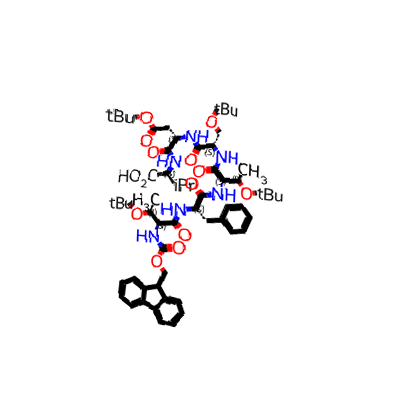 CC(C)[C@H](NC(=O)[C@H](CC(=O)OC(C)(C)C)NC(=O)[C@H](COC(C)(C)C)NC(=O)[C@@H](NC(=O)[C@H](Cc1ccccc1)NC(=O)[C@@H](NC(=O)OCC1c2ccccc2-c2ccccc21)[C@@H](C)OC(C)(C)C)[C@@H](C)OC(C)(C)C)C(=O)O